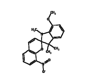 COc1cccc2c1N(C)C1(C=Cc3cccc([N+](=O)[O-])c3O1)C2(C)C